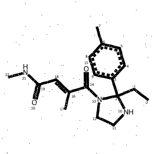 CCC1(c2ccc(C)cc2)NCCN1C(=O)/C(C)=C/C(=O)NC